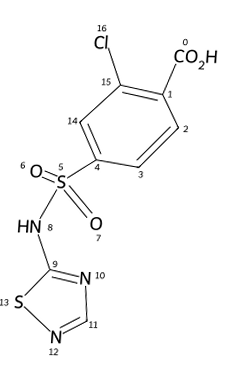 O=C(O)c1ccc(S(=O)(=O)Nc2ncns2)cc1Cl